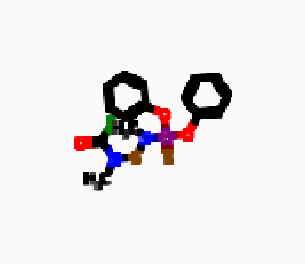 CN(SN(C)P(=S)(Oc1ccccc1)Oc1ccccc1)C(=O)F